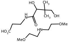 CC(C)(CO)C(O)C(=O)NCCC(=O)O.COCCNCCOC